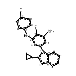 Nc1nc(-n2c(C3CC3)nc3ccccc32)nc(Nc2ccc(Cl)cc2)c1F